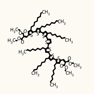 CCCCCCCCc1cc(C=C(C(=O)OCC)C(=O)OCC)sc1-c1cc(CCCCCCCC)c(-c2cc(CCCCCCCC)c(-c3ccc(-c4sc(-c5sc(-c6sc(C=C(C(=O)OCC)C(=O)OCC)cc6CCCCCCCC)cc5CCCCCCCC)cc4CCCCCCCC)s3)s2)s1